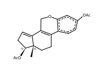 CC(=O)Oc1ccc2c(c1)OCC1=C2CC[C@@]2(C)C1=CC[C@@H]2OC(C)=O